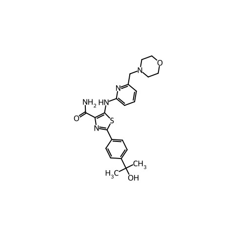 CC(C)(O)c1ccc(-c2nc(C(N)=O)c(Nc3cccc(CN4CCOCC4)n3)s2)cc1